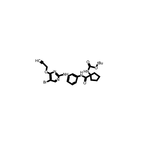 C#CCOc1nc(Nc2cccc(NC(=O)C3(NC(=O)OC(C)(C)C)CCCC3)c2)ncc1Br